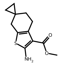 COC(=O)c1c(N)sc2c1CCC1(CC1)C2